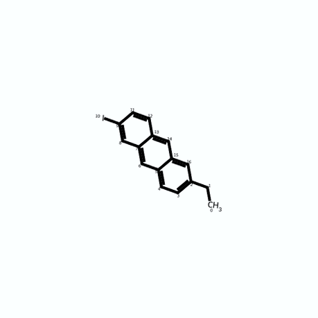 CCc1ccc2cc3cc(I)ccc3cc2c1